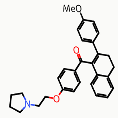 COc1ccc(C2=C(C(=O)c3ccc(OCCN4CCCC4)cc3)c3ccccc3CC2)cc1